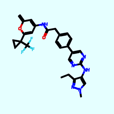 C=C1C=C(NC(=O)Cc2ccc(-c3cnc(Nc4cn(C)nc4CC)nc3)cc2)C=C(C2(C(F)(F)F)CC2)O1